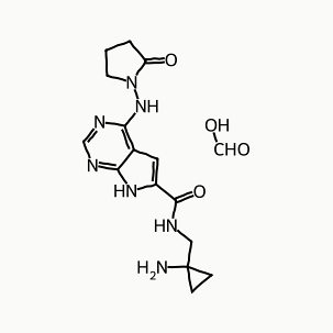 NC1(CNC(=O)c2cc3c(NN4CCCC4=O)ncnc3[nH]2)CC1.O=CO